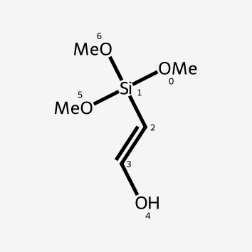 CO[Si](C=CO)(OC)OC